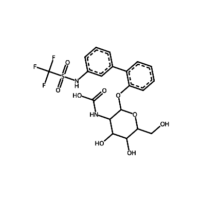 O=C(O)NC1C(Oc2ccccc2-c2cccc(NS(=O)(=O)C(F)(F)F)c2)OC(CO)C(O)C1O